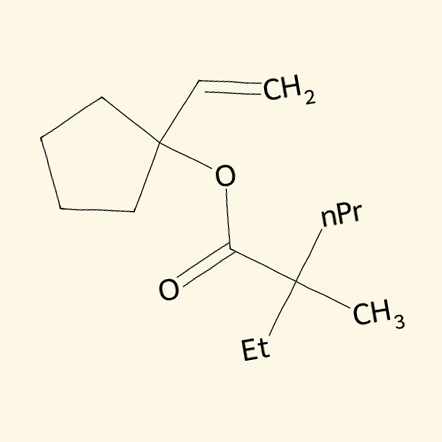 C=CC1(OC(=O)C(C)(CC)CCC)CCCC1